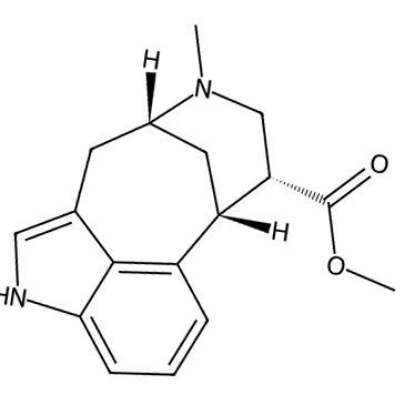 COC(=O)[C@H]1CN(C)[C@H]2Cc3c[nH]c4cccc(c34)[C@@H]1C2